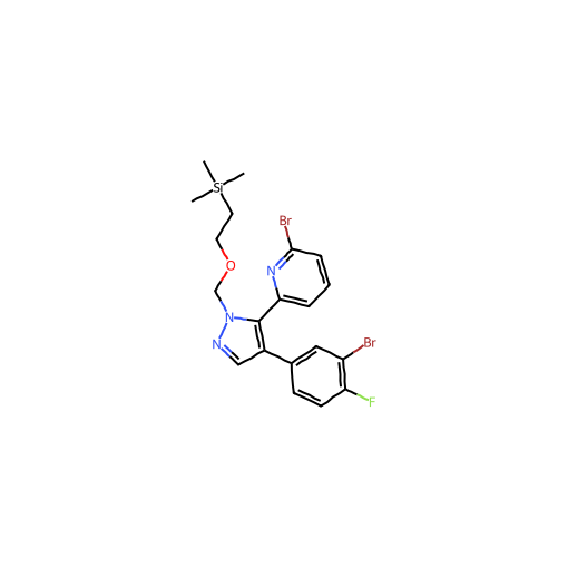 C[Si](C)(C)CCOCn1ncc(-c2ccc(F)c(Br)c2)c1-c1cccc(Br)n1